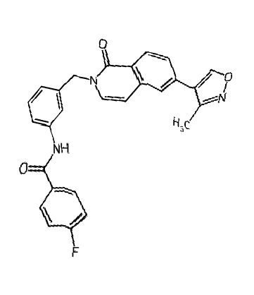 Cc1nocc1-c1ccc2c(=O)n(Cc3cccc(NC(=O)c4ccc(F)cc4)c3)ccc2c1